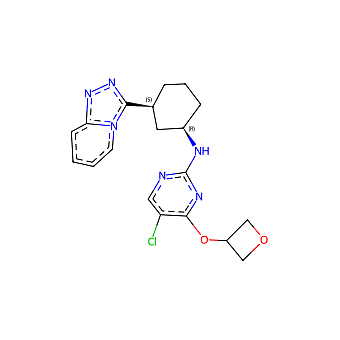 Clc1cnc(N[C@@H]2CCC[C@H](c3nnc4ccccn34)C2)nc1OC1COC1